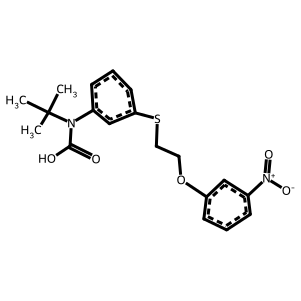 CC(C)(C)N(C(=O)O)c1cccc(SCCOc2cccc([N+](=O)[O-])c2)c1